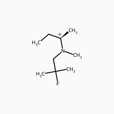 CC[C@@H](C)N(C)CC(C)(C)F